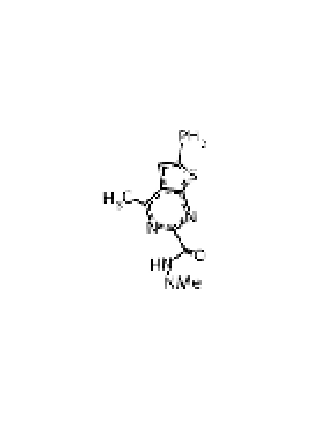 CNNC(=O)c1nc(C)c2cc(P)sc2n1